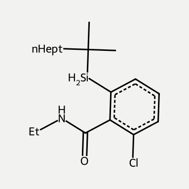 CCCCCCCC(C)(C)[SiH2]c1cccc(Cl)c1C(=O)NCC